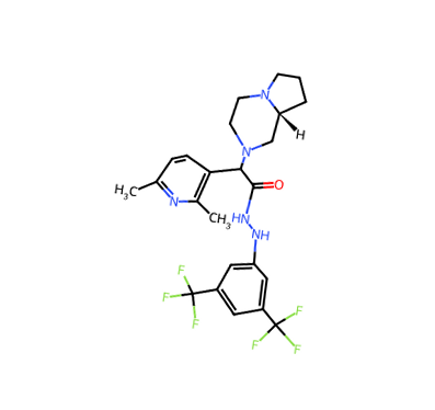 Cc1ccc(C(C(=O)NNc2cc(C(F)(F)F)cc(C(F)(F)F)c2)N2CCN3CCC[C@@H]3C2)c(C)n1